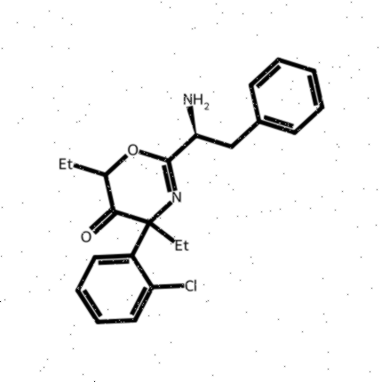 CCC1OC([C@@H](N)Cc2ccccc2)=NC(CC)(c2ccccc2Cl)C1=O